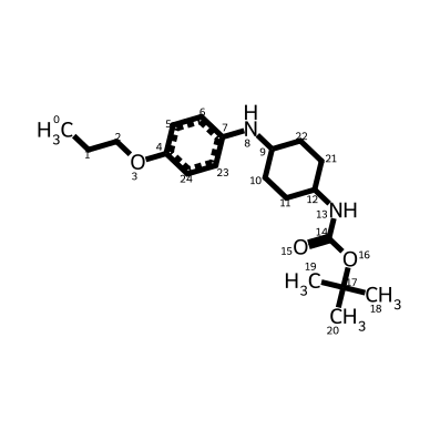 CCCOc1ccc(NC2CCC(NC(=O)OC(C)(C)C)CC2)cc1